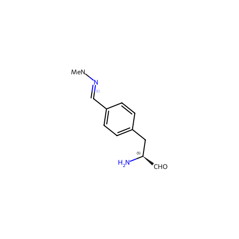 CN/N=C/c1ccc(C[C@H](N)C=O)cc1